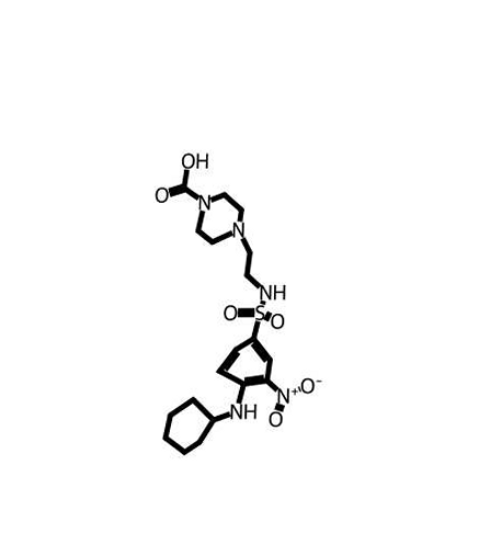 O=C(O)N1CCN(CCNS(=O)(=O)c2ccc(NC3CCCCC3)c([N+](=O)[O-])c2)CC1